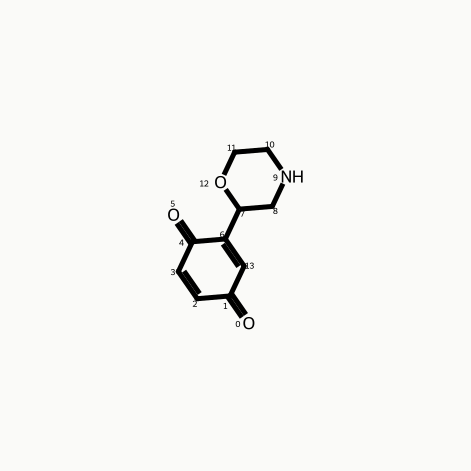 O=C1C=CC(=O)C(C2CNCCO2)=C1